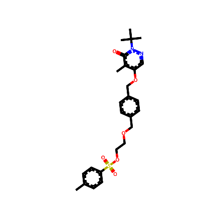 Cc1ccc(S(=O)(=O)OCCOCc2ccc(COc3cnn(C(C)(C)C)c(=O)c3C)cc2)cc1